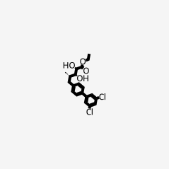 CCOC(=O)[C@H](O)[C@@H](O)[C@@H](C)Cc1ccc(-c2cc(Cl)cc(Cl)c2)cc1